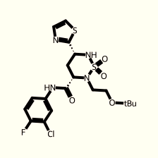 CC(C)(C)OCCN1[C@H](C(=O)Nc2ccc(F)c(Cl)c2)C[C@H](c2nccs2)NS1(=O)=O